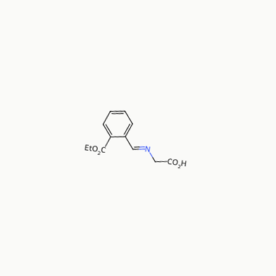 CCOC(=O)c1ccccc1C=NCC(=O)O